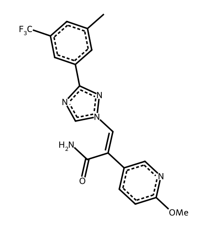 COc1ccc(C(=Cn2cnc(-c3cc(C)cc(C(F)(F)F)c3)n2)C(N)=O)cn1